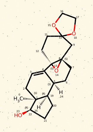 C[C@]12CC=C3[C@@H](CC[C@]45CC6(CC[C@]34O5)OCCO6)[C@H]1CC[C@H]2O